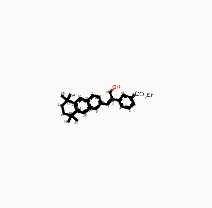 CCOC(=O)c1cccc(/C(=C/c2ccc3cc4c(cc3c2)C(C)(C)CCC4(C)C)CO)c1